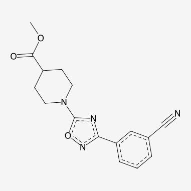 COC(=O)C1CCN(c2nc(-c3cccc(C#N)c3)no2)CC1